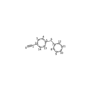 C#Cc1ccc(Cc2ccccc2)cc1